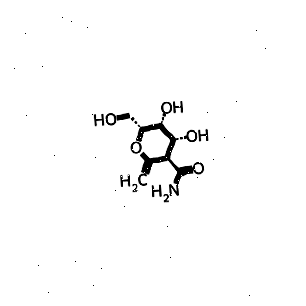 C=C1O[C@H](CO)[C@H](O)[C@H](O)[C@H]1C(N)=O